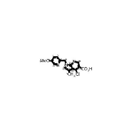 COc1ccc(Cn2nc(C)c3c(Cl)c(C(=O)O)cnc32)nc1